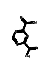 O=C(O)c1ncnc(C(=O)O)n1